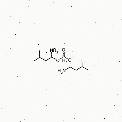 CC(C)CC(N)O[PH](=O)OC(N)CC(C)C